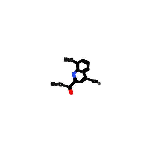 COC(=O)c1cc(C)c2cccc(OC)c2n1